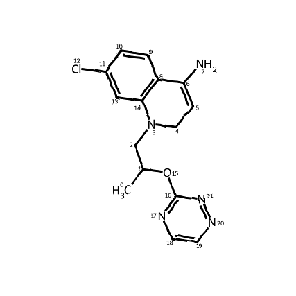 CC(CN1CC=C(N)c2ccc(Cl)cc21)Oc1nccnn1